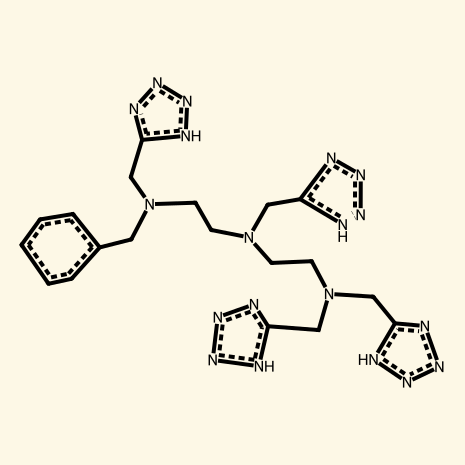 c1ccc(CN(CCN(CCN(Cc2nnn[nH]2)Cc2nnn[nH]2)Cc2nnn[nH]2)Cc2nnn[nH]2)cc1